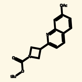 CC(=O)Oc1ccc2ccc(C3CN(C(=O)OC(C)(C)C)C3)nc2c1